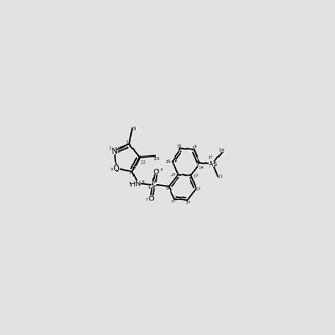 Cc1noc(NS(=O)(=O)c2cccc3c([As](C)C)cccc23)c1C